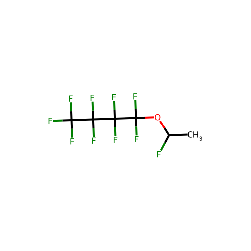 CC(F)OC(F)(F)C(F)(F)C(F)(F)C(F)(F)F